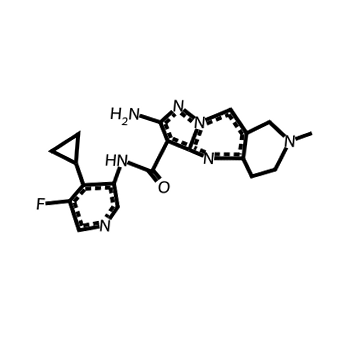 CN1CCc2nc3c(C(=O)Nc4cncc(F)c4C4CC4)c(N)nn3cc2C1